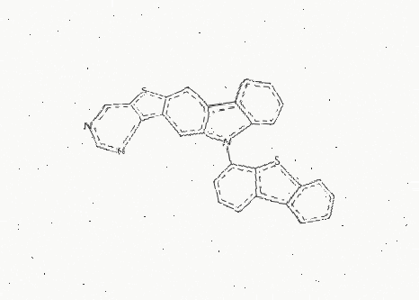 c1ccc2c(c1)sc1c(-n3c4ccccc4c4cc5sc6cncnc6c5cc43)cccc12